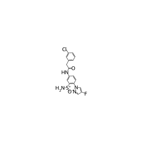 N[S+]([O-])c1cc(NC(=O)Cc2cccc(Cl)c2)ccc1-n1cc(F)cn1